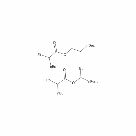 CCCCCC(CC)OC(=O)C(CC)CCCC.CCCCCCCCCCCCOC(=O)C(CC)CCCC